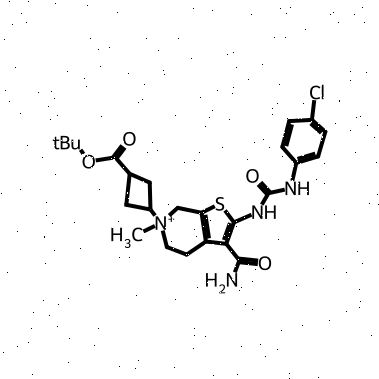 CC(C)(C)OC(=O)C1CC([N+]2(C)CCc3c(sc(NC(=O)Nc4ccc(Cl)cc4)c3C(N)=O)C2)C1